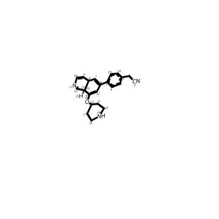 N#CCc1ccc(C2=CC3C=CN=C[C@H]3C(OC3CCNCC3)=C2)cc1